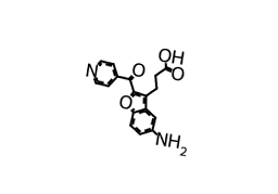 Nc1ccc2oc(C(=O)c3ccncc3)c(CCC(=O)O)c2c1